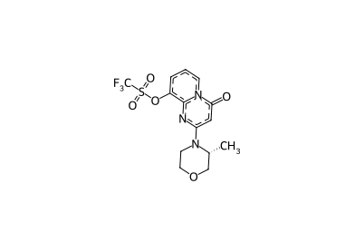 C[C@@H]1COCCN1c1cc(=O)n2cccc(OS(=O)(=O)C(F)(F)F)c2n1